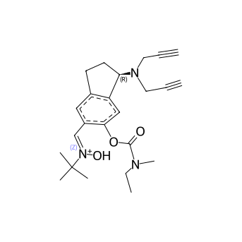 C#CCN(CC#C)[C@@H]1CCc2cc(/C=[N+](\O)C(C)(C)C)c(OC(=O)N(C)CC)cc21